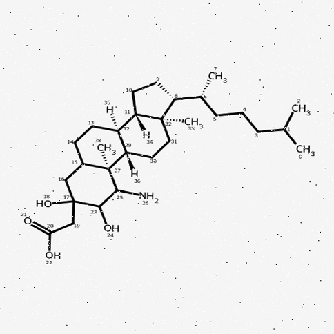 CC(C)CCC[C@@H](C)[C@H]1CC[C@H]2[C@@H]3CCC4CC(O)(CC(=O)O)C(O)C(N)[C@]4(C)[C@H]3CC[C@]12C